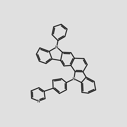 c1ccc(-n2c3ccccc3c3cc4c(ccc5c6ccccc6n(-c6ccc(-c7cccnc7)cc6)c45)cc32)cc1